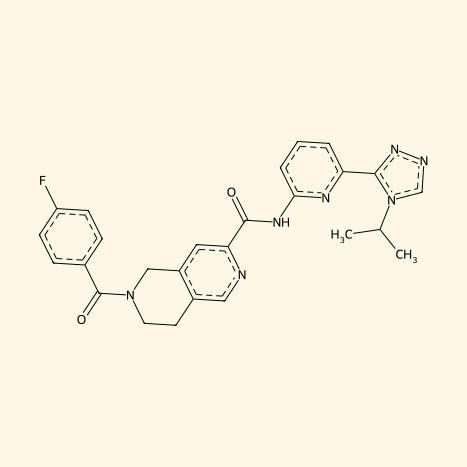 CC(C)n1cnnc1-c1cccc(NC(=O)c2cc3c(cn2)CCN(C(=O)c2ccc(F)cc2)C3)n1